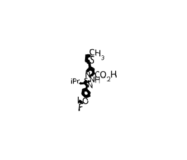 Cc1ccc(-c2cnc(Nc3nc(-c4ccc(OC(F)I)cc4)c(CC(C)C)s3)c(C(=O)O)c2)s1